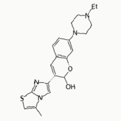 CCN1CCN(c2ccc3c(c2)OC(O)C(c2cn4c(C)csc4n2)=C3)CC1